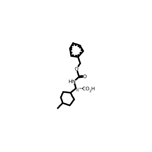 CC1CCC([C@H](NC(=O)OCc2ccccc2)C(=O)O)CC1